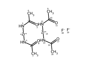 CC(=O)[NH][Zr+][NH]C(C)=O.CC(=O)[NH][Zr+][NH]C(C)=O.[F-].[F-]